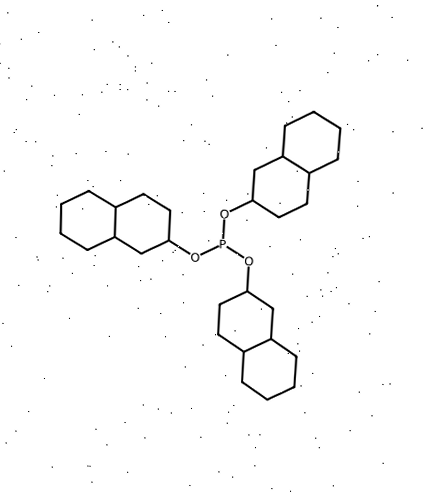 C1CCC2CC(OP(OC3CCC4CCCCC4C3)OC3CCC4CCCCC4C3)CCC2C1